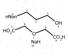 CCCCCCCCCCCCO.O=C(O)COCC(=O)O.[NaH]